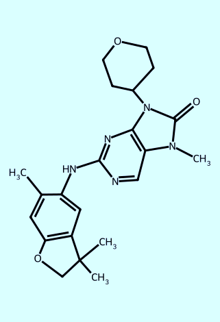 Cc1cc2c(cc1Nc1ncc3c(n1)n(C1CCOCC1)c(=O)n3C)C(C)(C)CO2